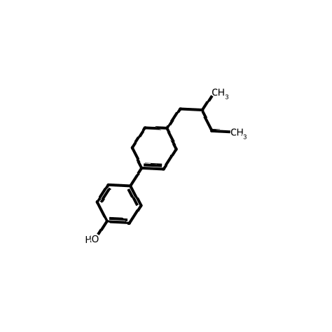 CCC(C)CC1CC=C(c2ccc(O)cc2)CC1